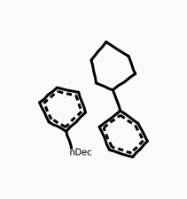 CCCCCCCCCCc1ccccc1.c1ccc(C2CCCCC2)cc1